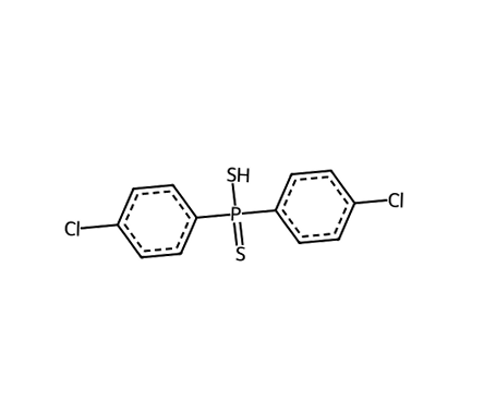 S=P(S)(c1ccc(Cl)cc1)c1ccc(Cl)cc1